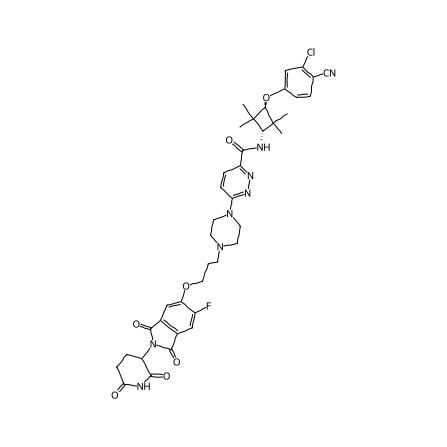 CC1(C)[C@H](NC(=O)c2ccc(N3CCN(CCCOc4cc5c(cc4F)C(=O)N(C4CCC(=O)NC4=O)C5=O)CC3)nn2)C(C)(C)[C@H]1Oc1ccc(C#N)c(Cl)c1